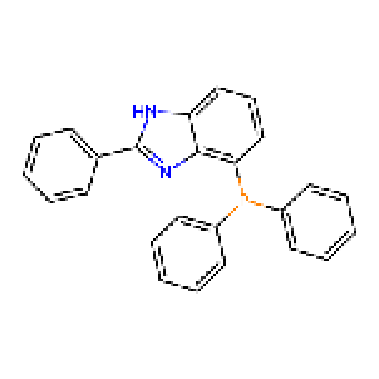 c1ccc(-c2nc3c(P(c4ccccc4)c4ccccc4)cccc3[nH]2)cc1